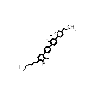 C=CCCCc1ccc(-c2ccc(-c3ccc(C4CCC(CCC)CO4)c(F)c3F)cc2)c(F)c1F